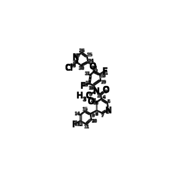 CN(C(=O)C1=CN=CC(c2ccc(F)cc2)C1=O)c1cc(F)c(Oc2ccnc(Cl)c2)cc1F